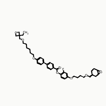 CCC1(COCCCCCCOc2ccc(-c3ccc(C(=O)Oc4ccc(OCCCCOCC5CCC6OC6C5)cc4F)cc3)cc2)COC1